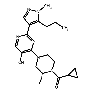 C[C@@H]1CN(c2nc(-c3cnn(C)c3CCC(F)(F)F)ncc2C#N)CCN1C(=O)C1CC1